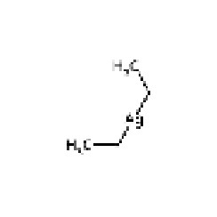 C[CH2][Ag][CH2]C